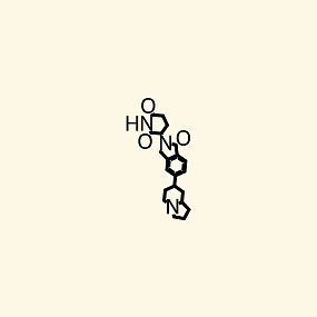 O=C1CCC(N2Cc3cc(C4CCN5CCCC5C4)ccc3C2=O)C(=O)N1